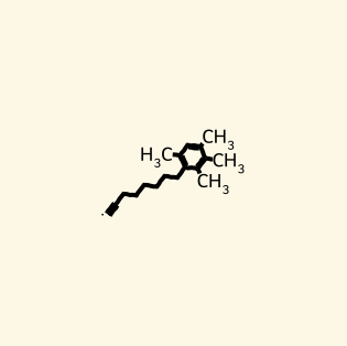 [C]#CCCCCCCc1c(C)cc(C)c(C)c1C